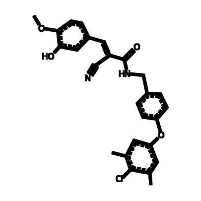 COc1ccc(/C=C(\C#N)C(=O)NCc2ccc(Oc3cc(C)c(Cl)c(C)c3)cc2)cc1O